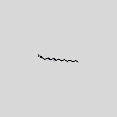 CCCCCCCC/C=C/C=C/CC#N